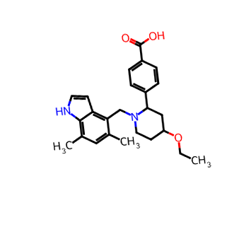 CCOC1CCN(Cc2c(C)cc(C)c3[nH]ccc23)C(c2ccc(C(=O)O)cc2)C1